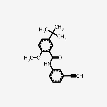 C#Cc1cccc(NC(=O)c2cc(C(C)(C)C)ccc2OC)c1